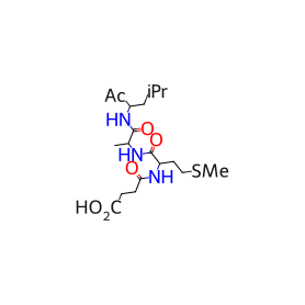 CSCCC(NC(=O)CCC(=O)O)C(=O)NC(C)C(=O)NC(CC(C)C)C(C)=O